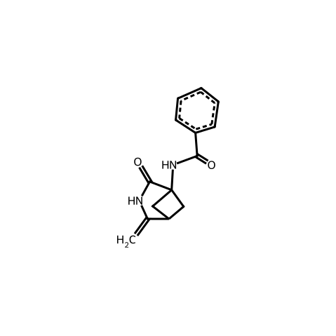 C=C1NC(=O)C2(NC(=O)c3ccccc3)CC1C2